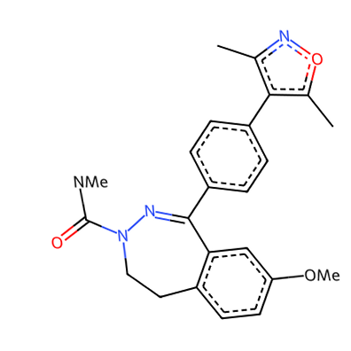 CNC(=O)N1CCc2ccc(OC)cc2C(c2ccc(-c3c(C)noc3C)cc2)=N1